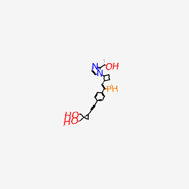 CP/C(=C\C1CCC1n1ccnc1[C@H](C)O)c1ccc(C#CC2CC2(CO)CO)cc1